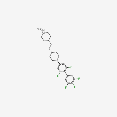 CCC[SiH]1CCC(CC[C@H]2CC[C@H](c3cc(F)c(-c4cc(F)c(F)c(F)c4)c(F)c3)CC2)CC1